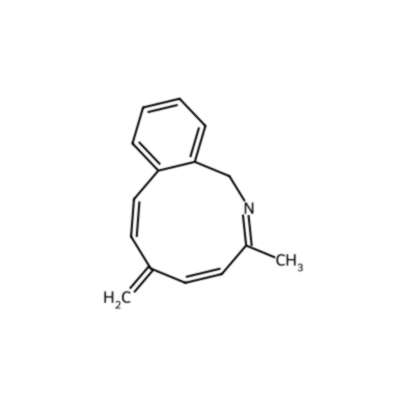 C=C1/C=C\C(C)=N/Cc2ccccc2/C=C\1